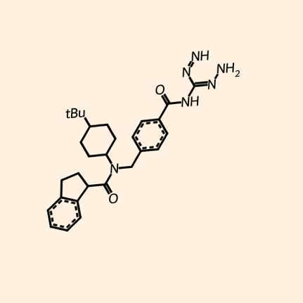 CC(C)(C)C1CCC(N(Cc2ccc(C(=O)N/C(N=N)=N/N)cc2)C(=O)C2CCc3ccccc32)CC1